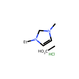 CC(=O)O.CCN1C=CN(C)C1.Cl